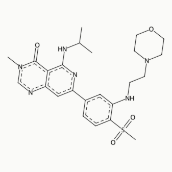 CC(C)Nc1nc(-c2ccc(S(C)(=O)=O)c(NCCN3CCOCC3)c2)cc2ncn(C)c(=O)c12